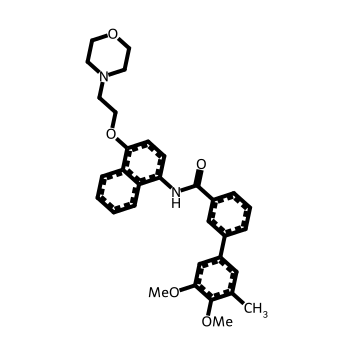 COc1cc(-c2cccc(C(=O)Nc3ccc(OCCN4CCOCC4)c4ccccc34)c2)cc(C)c1OC